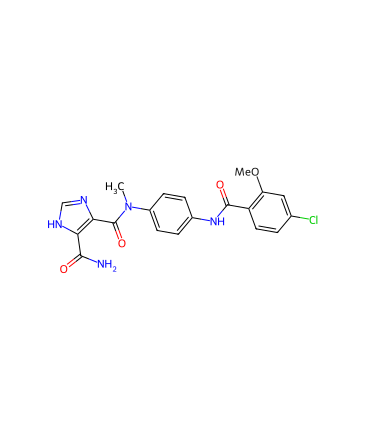 COc1cc(Cl)ccc1C(=O)Nc1ccc(N(C)C(=O)c2nc[nH]c2C(N)=O)cc1